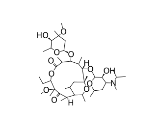 CCC1OC(=O)C(C)C(O[C@@H]2CC(C)(OC)[C@H](O)C(C)O2)C(C)[C@H](OC2OC(C)CC(N(C)C(C)C)[C@@H]2O)[C@@]2(C)CC(C)C(C(C)O2)[C@@H](C)C(=O)C1(C)OC